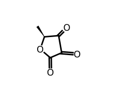 C[C@@H]1OC(=O)C(=O)C1=O